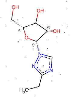 CCc1ncn([C@@H]2O[C@H](CO)C(O)[C@@H]2O)n1